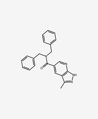 Cc1n[nH]c2ncc(C(=O)N(Cc3ccccc3)Cc3ccccc3)cc12